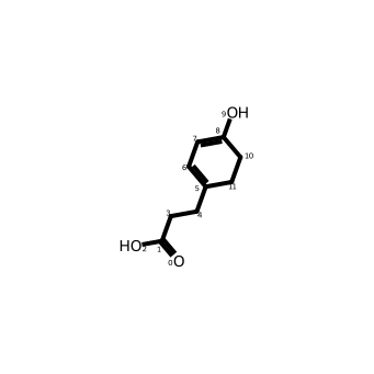 O=C(O)CCC1=CC=C(O)CC1